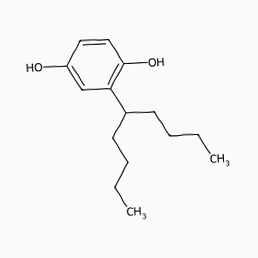 CCCCC(CCCC)c1cc(O)ccc1O